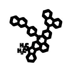 CC1(C)c2ccccc2-c2ccc(N(c3ccc(-c4ccc5ccccc5c4)cc3)c3cc(-c4cc5ccccc5c5ccccc45)ccc3-c3ccccc3)cc21